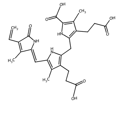 C=CC1=C(C)/C(=C/c2[nH]c(Cc3[nH]c(C(=O)O)c(C)c3CCC(=O)O)c(CCC(=O)O)c2C)NC1=O